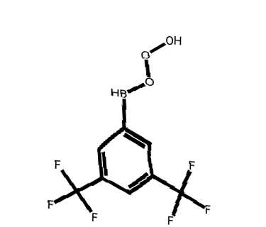 OOOBc1cc(C(F)(F)F)cc(C(F)(F)F)c1